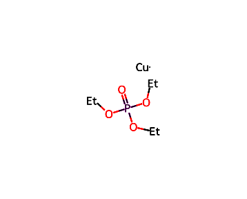 CCOP(=O)(OCC)OCC.[Cu]